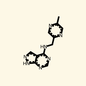 Cc1cnc(CNc2ncnc3[nH]ncc23)cn1